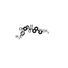 Cc1cccc(-c2cccc3c(NC(=O)N4CCc5cc(Cl)c(N6CCN(C)CC6)cc54)cccc23)n1